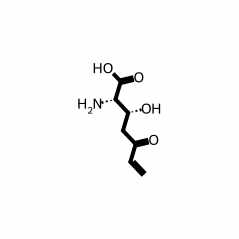 C=CC(=O)C[C@@H](O)[C@H](N)C(=O)O